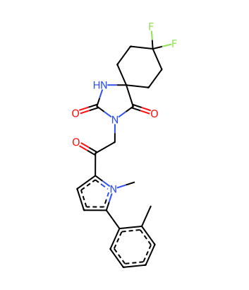 Cc1ccccc1-c1ccc(C(=O)CN2C(=O)NC3(CCC(F)(F)CC3)C2=O)n1C